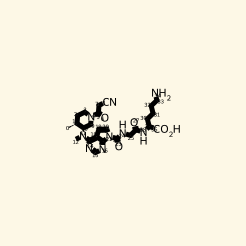 C[C@@H]1CCN(C(=O)CC#N)C[C@@H]1N(C)c1ncnc2c1ccn2C(=O)NCC(=O)NC(CCCCN)C(=O)O